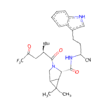 CC1(C)C2CN(C(=O)[C@@H](CC(=O)C(F)(F)F)C(C)(C)C)[C@H](C(=O)NC(C#N)CCc3c[nH]c4ccccc34)C21